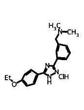 CCOc1ccc(-c2nc(-c3cccc(CN(C)C)c3)n[nH]2)cc1.Cl